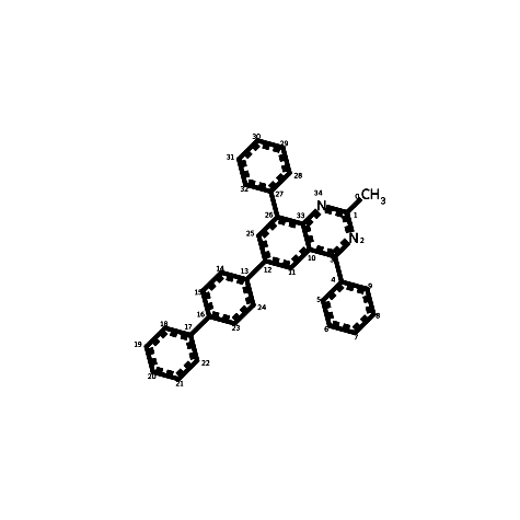 Cc1nc(-c2ccccc2)c2cc(-c3ccc(-c4ccccc4)cc3)cc(-c3ccccc3)c2n1